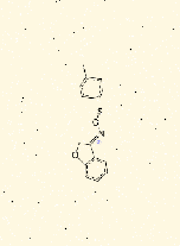 Cc1ccc(SO/N=C2\COc3ccccc32)cc1